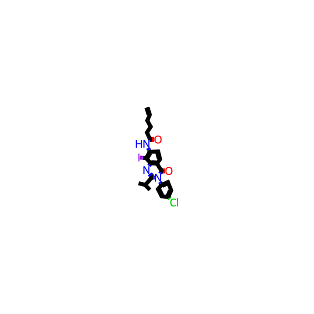 C=CCCCC(=O)Nc1ccc2c(=O)n(-c3ccc(Cl)cc3)c(C(C)C)nc2c1I